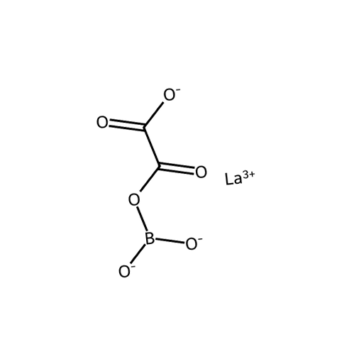 O=C([O-])C(=O)OB([O-])[O-].[La+3]